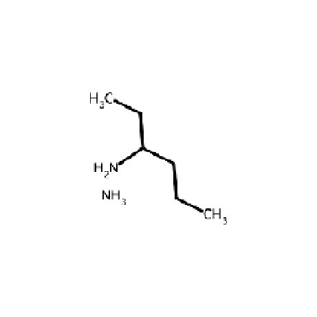 CCCC(N)CC.N